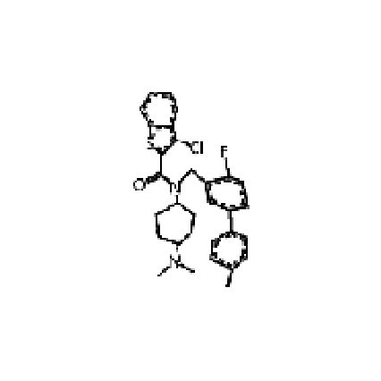 Cc1ccc(-c2ccc(F)c(CN(C(=O)c3sc4ccccc4c3Cl)[C@H]3CC[C@H](N(C)C)CC3)c2)cc1